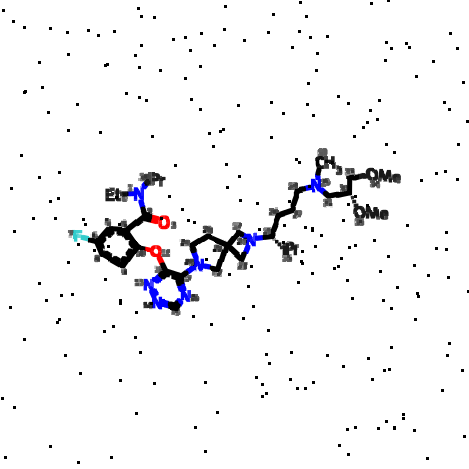 CCN(C(=O)c1cc(F)ccc1Oc1nncnc1N1CCC2(C1)CN([C@H](CCCN(C)C[C@H](COC)OC)C(C)C)C2)C(C)C